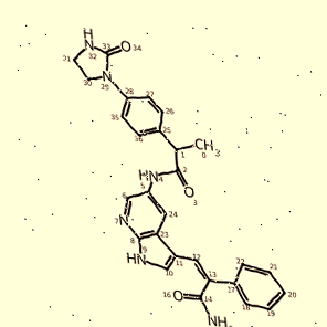 CC(C(=O)Nc1cnc2[nH]cc(C=C(C(N)=O)c3ccccc3)c2c1)c1ccc(N2CCNC2=O)cc1